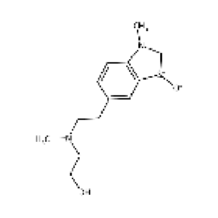 CN(CCO)CCc1ccc2c(c1)[S+]([O-])CN2C